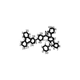 c1ccc(-n2c3ccccc3c3cc4c(cc32)c(-c2ccc(-c3ccc5c6ccccc6c6ccccc6c5c3)cc2)nc2ccccc24)cc1